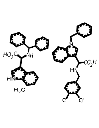 O.O=C(O)C(NC(c1ccccc1)c1ccccc1)c1c[nH]c2ccccc12.O=C(O)C(NCc1ccc(Cl)c(Cl)c1)c1cn(Cc2ccccc2)c2ccccc12